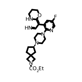 CCOC(=O)N1CC2(CC[C@@H](N3CCN(c4ncc(F)cc4/C(C=N)=C4/NCCCO4)CC3)C2)C1